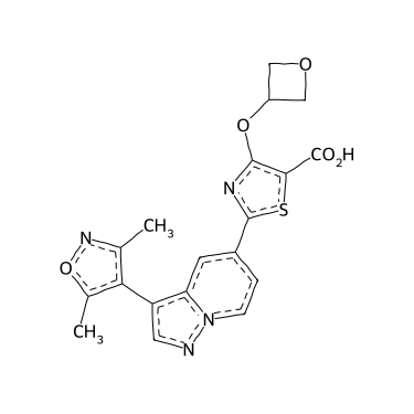 Cc1noc(C)c1-c1cnn2ccc(-c3nc(OC4COC4)c(C(=O)O)s3)cc12